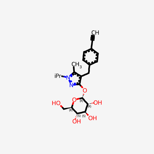 C#Cc1ccc(Cc2c(O[C@H]3O[C@H](CO)[C@@H](O)[C@H](O)[C@H]3O)nn(C(C)C)c2C)cc1